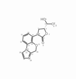 O=C1O[C@@H](C(O)C(F)(F)F)CN1c1cccc2c1OCC1=NC=C[N+]12